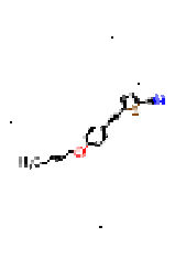 CC/C=C/COc1ccc(C#Cc2ccc(C#N)s2)cc1